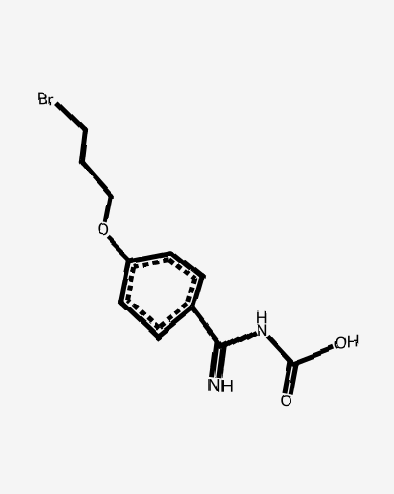 N=C(NC(=O)O)c1ccc(OCCCBr)cc1